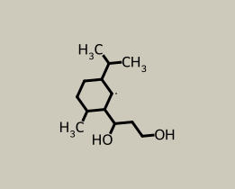 CC(C)C1[CH]C(C(O)CCO)C(C)CC1